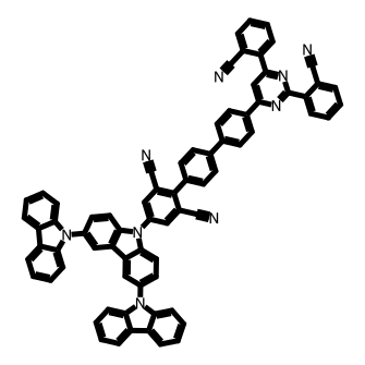 N#Cc1ccccc1-c1cc(-c2ccc(-c3ccc(-c4c(C#N)cc(-n5c6ccc(-n7c8ccccc8c8ccccc87)cc6c6cc(-n7c8ccccc8c8ccccc87)ccc65)cc4C#N)cc3)cc2)nc(-c2ccccc2C#N)n1